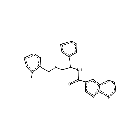 Cc1ccccc1COCC(NC(=O)c1ccc2ncccc2c1)c1ccccc1